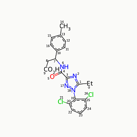 CCc1nc(C(=O)NC(CC(=O)O)c2ccc(C)cc2)nn1-c1c(Cl)cccc1Cl